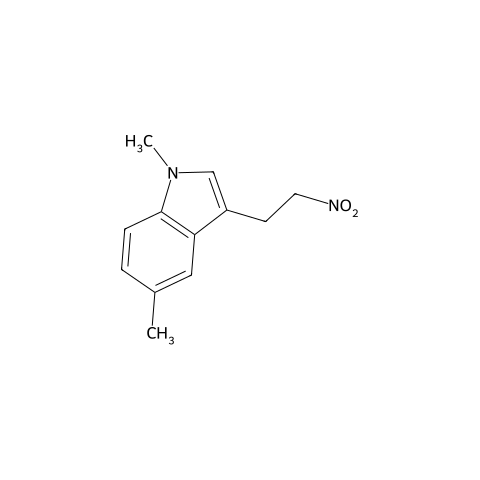 Cc1ccc2c(c1)c(CC[N+](=O)[O-])cn2C